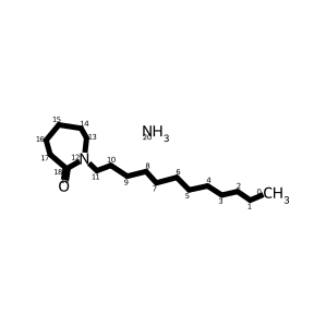 CCCCCCCCCCCCN1CCCCCC1=O.N